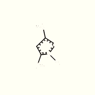 COc1cc(OC)[n+]([O-])o1